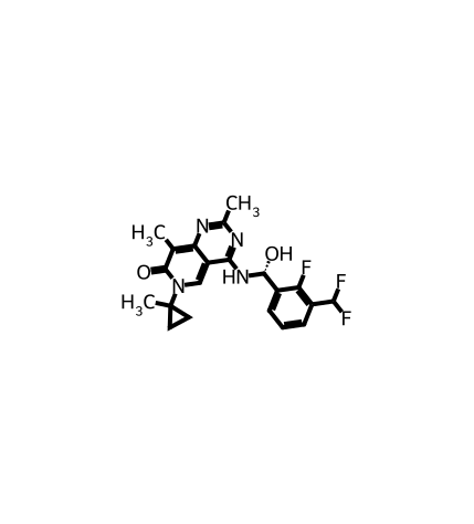 Cc1nc(N[C@H](O)c2cccc(C(F)F)c2F)c2cn(C3(C)CC3)c(=O)c(C)c2n1